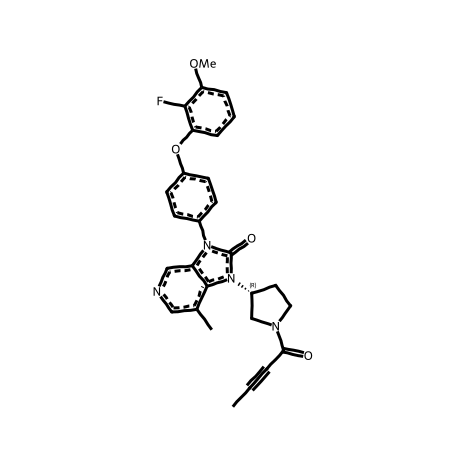 CC#CC(=O)N1CC[C@@H](n2c(=O)n(-c3ccc(Oc4cccc(OC)c4F)cc3)c3cncc(C)c32)C1